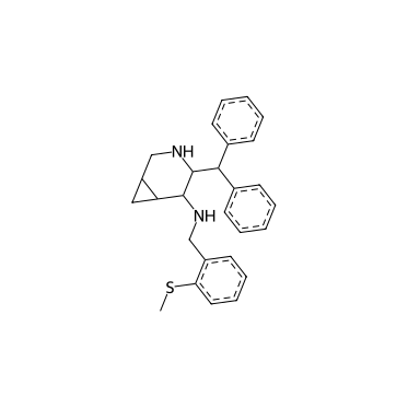 CSc1ccccc1CNC1C2CC2CNC1C(c1ccccc1)c1ccccc1